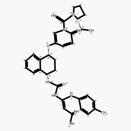 Cc1ccc(N/C(=C\C(=N)C(C)(C)C)NC(=O)N[C@H]2CC[C@@H](Oc3ccc(=N)n(C(=N)N4CCC[C@@H]4CO)c3)c3ccccc32)cc1